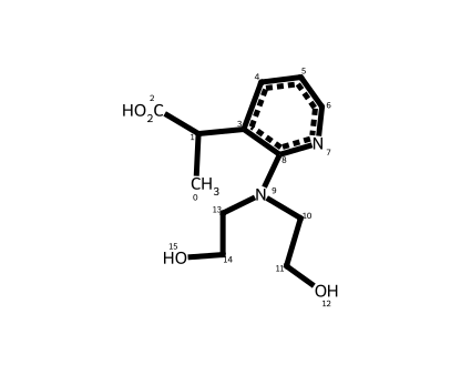 CC(C(=O)O)c1cccnc1N(CCO)CCO